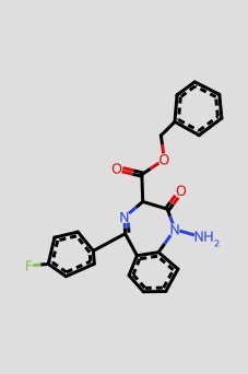 NN1C(=O)C(C(=O)OCc2ccccc2)N=C(c2ccc(F)cc2)c2ccccc21